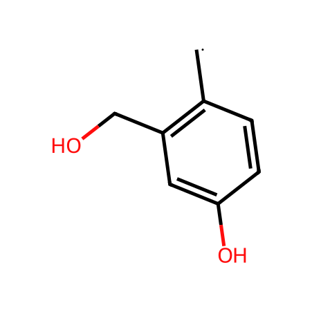 [CH2]c1ccc(O)cc1CO